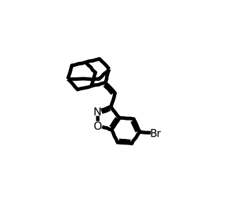 Brc1ccc2onc(C=C3C4CC5CC(C4)CC3C5)c2c1